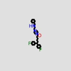 O=C(CCCCC(c1ccc(F)cc1)c1ccc(F)cc1)N1CCN(CCNCc2ccccc2)CC1